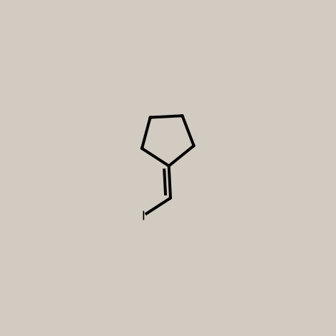 IC=C1CCCC1